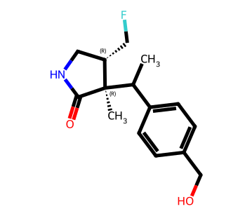 CC(c1ccc(CO)cc1)[C@@]1(C)C(=O)NC[C@@H]1CF